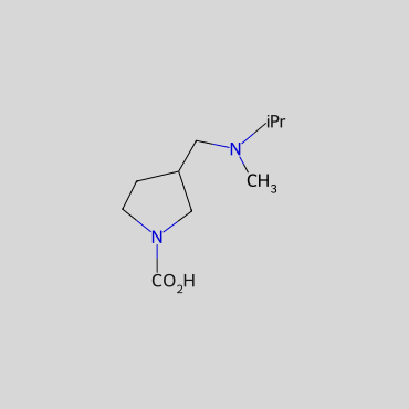 CC(C)N(C)CC1CCN(C(=O)O)C1